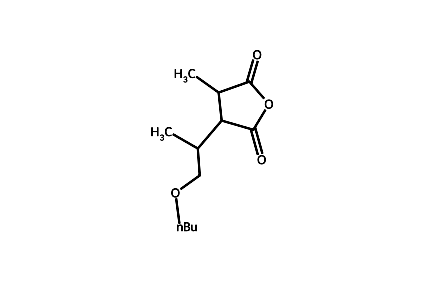 CCCCOCC(C)C1C(=O)OC(=O)C1C